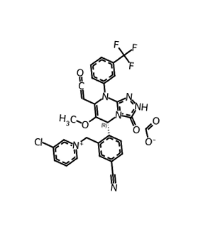 COC1=C(C=C=O)N(c2cccc(C(F)(F)F)c2)c2n[nH]c(=O)n2[C@@H]1c1ccc(C#N)cc1C[n+]1cccc(Cl)c1.O=C[O-]